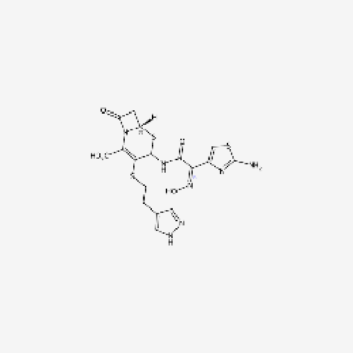 Nc1nc(/C(=N/O)C(=O)NC2S[C@H]3CC(=O)N3C(C(=O)O)=C2SCCc2cn[nH]c2)cs1